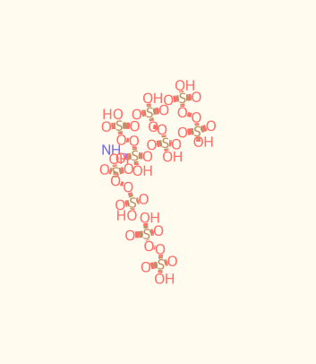 N.O=S(=O)(O)OOS(=O)(=O)O.O=S(=O)(O)OOS(=O)(=O)O.O=S(=O)(O)OOS(=O)(=O)O.O=S(=O)(O)OOS(=O)(=O)O.O=S(=O)(O)OOS(=O)(=O)O